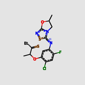 CCC(=S)C(C)Oc1cc(/N=c2\snc3n2CC(C)O3)c(F)cc1Cl